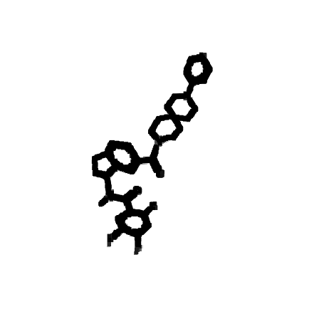 CN(C(=O)c1cc(F)c(F)cc1Cl)C1CCc2ccc(C(=O)N3CCC4(CC3)CCN(c3ccncc3)CC4)cc21